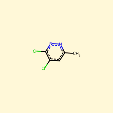 Cc1cc(Cl)c(Cl)nn1